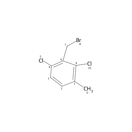 Cc1ccc(Cl)c(CBr)c1Cl